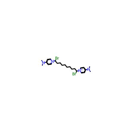 CN(C)c1cc[n+](C(Br)CCCCCCCCC(Br)[n+]2ccc(N(C)C)cc2)cc1